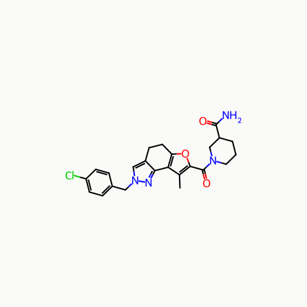 Cc1c(C(=O)N2CCCC(C(N)=O)C2)oc2c1-c1nn(Cc3ccc(Cl)cc3)cc1CC2